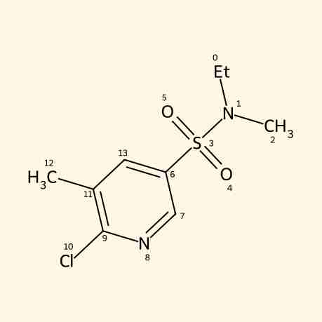 CCN(C)S(=O)(=O)c1cnc(Cl)c(C)c1